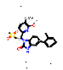 CCOc1nc([C@H](CS(C)(=O)=O)n2c(=O)[nH]c3cc(-c4ccccc4C)ccc32)ccc1OC